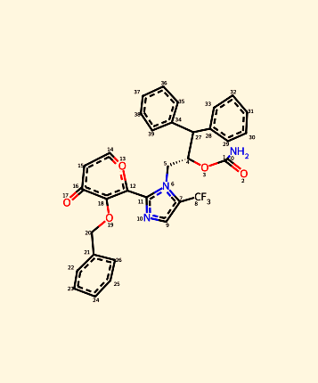 NC(=O)O[C@H](Cn1c(C(F)(F)F)cnc1-c1occc(=O)c1OCc1ccccc1)C(c1ccccc1)c1ccccc1